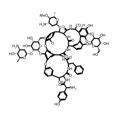 CO[C@H]1[C@H](C)O[C@@H](OC2c3ccc(c(Cl)c3)Oc3cc4cc(c3O[C@@H]3O[C@H](CO)[C@@H](O)[C@H](O)[C@H]3O[C@H]3C[C@H](N)[C@@H](O)[C@H](C)O3)Oc3ccc(cc3)C(O)C(NC(=O)C(N)c3ccc(O)cc3)C(=O)NC(Cc3ccccc3)C(=O)NC4C(=O)NC3C(=O)NC2C(=O)NC(C(=O)O)c2cc(O)cc(O[C@H]4O[C@H](CO)[C@@H](O)[C@H](O)[C@@H]4O)c2-c2cc3ccc2O)C[C@@H]1N